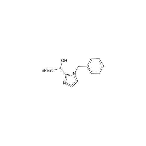 CCCCCC(O)c1nccn1Cc1ccccc1